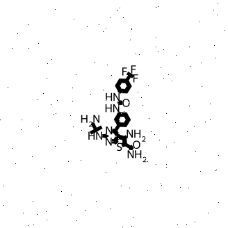 CC(C)(CN)Nc1nc(-c2cccc(NC(=O)Nc3ccc(C(F)(F)F)cc3)c2)c2c(N)c(C(N)=O)sc2n1